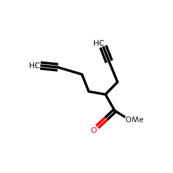 C#CCCC(CC#C)C(=O)OC